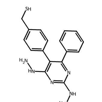 NNc1nc(NN)c(-c2ccc(CS)cc2)c(-c2ccccc2)n1